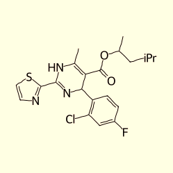 CC1=C(C(=O)OC(C)CC(C)C)C(c2ccc(F)cc2Cl)N=C(c2nccs2)N1